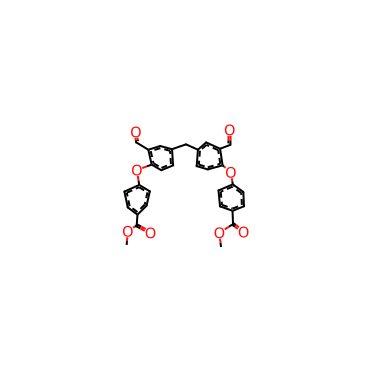 COC(=O)c1ccc(Oc2ccc(Cc3ccc(Oc4ccc(C(=O)OC)cc4)c(C=O)c3)cc2C=O)cc1